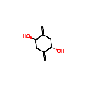 C=C1C[C@H](O)C(=C)C[C@H]1O